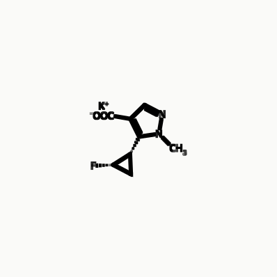 Cn1ncc(C(=O)[O-])c1[C@@H]1C[C@@H]1F.[K+]